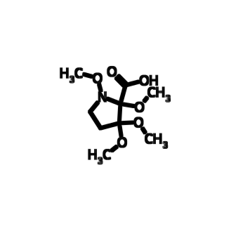 CON1CCC(OC)(OC)C1(OC)C(=O)O